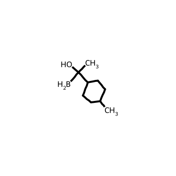 BC(C)(O)C1CCC(C)CC1